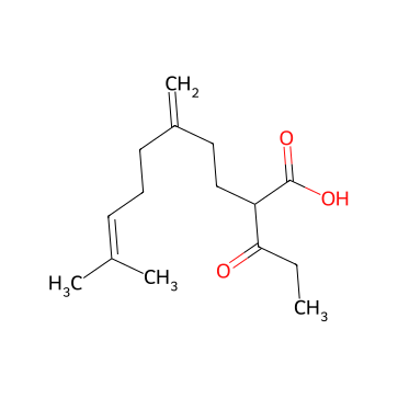 C=C(CCC=C(C)C)CCC(C(=O)O)C(=O)CC